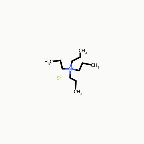 CCC[N+](CCC)(CCC)CCC.[S-2]